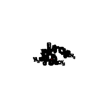 COc1ccc(-c2c(-c3ccc(CN4CCC(S(C)(=O)=O)CC4)cc3)[nH]c3ncc4c(c23)n(-c2ccccc2)c(=O)n4C)cc1